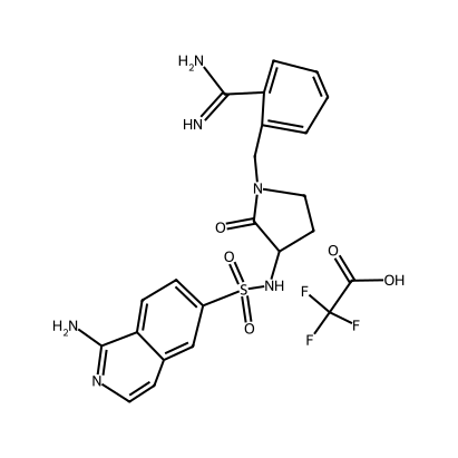 N=C(N)c1ccccc1CN1CCC(NS(=O)(=O)c2ccc3c(N)nccc3c2)C1=O.O=C(O)C(F)(F)F